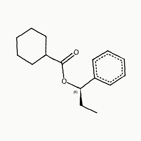 CC[C@@H](OC(=O)C1CCCCC1)c1ccccc1